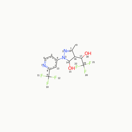 CC1=NN(c2ccnc(C(F)(F)F)c2)C(O)C1C(O)C(F)(F)F